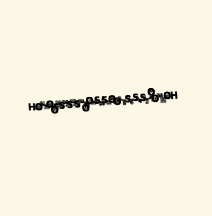 O=C(CSCSCSCCOOCSCSCOC(=O)CSCSCSCC(=O)OCCO)OCCO